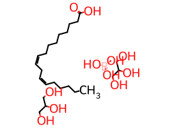 CCCCC/C=C\C/C=C\CCCCCCCC(=O)O.OB(O)O.OCC(O)CO.OCC(O)CO